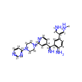 CN/C=C(\C=N)c1ccc(N)c(C(=N)c2ccnc(N3CCN(c4ccncn4)CC3)c2)c1